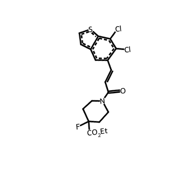 CCOC(=O)C1(F)CCN(C(=O)C=Cc2cc3ccsc3c(Cl)c2Cl)CC1